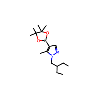 CCC(CC)Cn1ncc(B2OC(C)(C)C(C)(C)O2)c1C